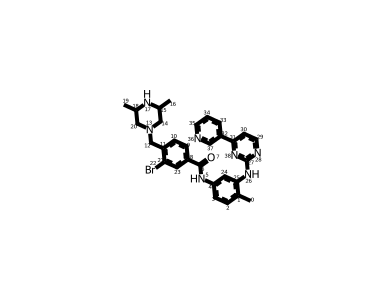 Cc1ccc(NC(=O)c2ccc(CN3CC(C)NC(C)C3)c(Br)c2)cc1Nc1nccc(-c2cccnc2)n1